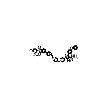 Nc1ncnc2c1c(-c1ccc(Oc3ccccc3)cc1)nn2C1CCN(CC2CCN(CCN3CCC(c4ccc5c(c4)C(=O)N(C4CCC(=O)NC4=O)C5=O)CC3)CC2)CC1